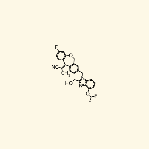 C/C(C#N)=C1\c2ccc(Cn3c(CO)nc4c(OC(F)F)cccc43)cc2COc2cc(F)ccc21